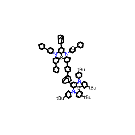 CC(C)(C)c1ccc(N2c3ccc(C(C)(C)C)cc3B3c4cc(C(C)(C)C)ccc4N(c4ccc(C(C)(C)C)cc4)c4cc(C56CC7CC(C5)C(c5ccc(-c8ccc9c(c8)B8c%10cc(-c%11ccccc%11)ccc%10N(c%10ccc(-c%11ccccc%11)cc%10)c%10cc(C%11%12CC%13CC(CC(C%13)C%11)C%12)cc(c%108)N9c8ccc(-c9ccccc9)cc8)cc5)C(C7)C6)cc2c43)cc1